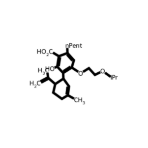 C=C(C)C1CCC(C)=CC1c1c(OCCOC(C)C)cc(CCCCC)c(C(=O)O)c1O